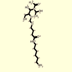 CC(=O)N(C(C)O)C(O)C(CO)OCOCCCC(=O)NCCCCCCN